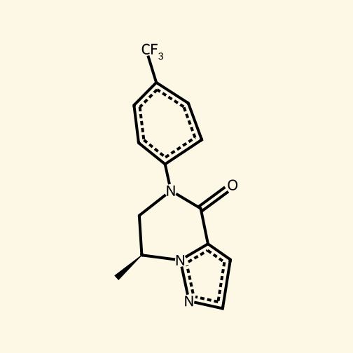 C[C@H]1CN(c2ccc(C(F)(F)F)cc2)C(=O)c2ccnn21